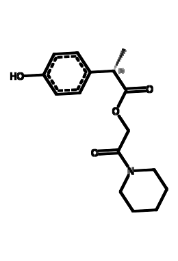 C[C@H](C(=O)OCC(=O)N1CCCCC1)c1ccc(O)cc1